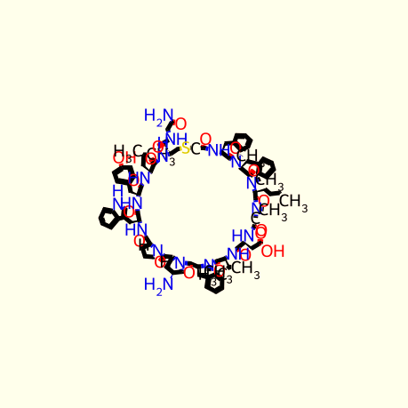 CCCC[C@H]1C(=O)N(C)CC(=O)N[C@@H](CC(=O)O)C(=O)N[C@@H](C(C)C)C(=O)N(C)[C@@H](Cc2ccccc2)C(=O)N2C[C@H](N)C[C@H]2C(=O)N2CCC[C@@H]2C(=O)N[C@@H](Cc2c[nH]c3ccccc23)C(=O)N[C@@H](Cc2ccc(O)cc2)C(=O)N[C@@H](CC(C)C)C(=O)N[C@H](C(=O)NCC(N)=O)CSCC(=O)N[C@@H](Cc2ccccc2)C(=O)N(C)[C@@H](Cc2ccccc2)C(=O)N1C